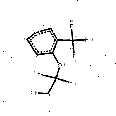 FCC(F)(F)Oc1[c]cccc1C(F)(F)F